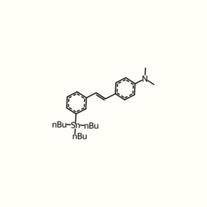 CCC[CH2][Sn]([CH2]CCC)([CH2]CCC)[c]1cccc(C=Cc2ccc(N(C)C)cc2)c1